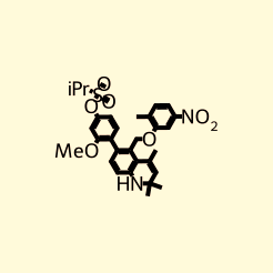 COc1cc(OS(=O)(=O)C(C)C)ccc1-c1ccc2c(c1COc1cc([N+](=O)[O-])ccc1C)C(C)=CC(C)(C)N2